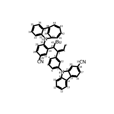 C/C=C(/c1cccc(-n2c3ccccc3c3ccc(C#N)cc32)c1)C(c1cc(C#N)ccc1N1c2ccccc2C2=CC1C=CC=C2)C(C)CC